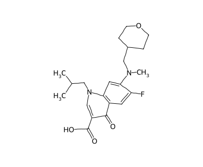 CC(C)Cn1cc(C(=O)O)c(=O)c2cc(F)c(N(C)CC3CCOCC3)cc21